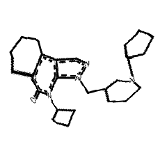 O=c1c2c(c3cnn(CC4CCCN(C5CCCC5)C4)c3n1C1CCC1)CCCC2